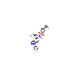 COCC12Cc3cnn(-c4ccc(F)cc4)c3C=C1CCN(S(=O)(=O)c1ccc(C(C)(C)C)cc1)C2